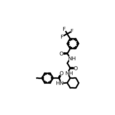 Cc1ccc(C(=O)NC2CCCCC2NC(=O)CNC(=O)c2cccc(C(F)(F)F)c2)cc1